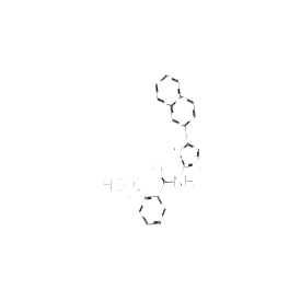 Cc1ccc(C(=O)O)c(C(=O)Nc2nc(-c3ccc4ccccc4c3)cs2)c1